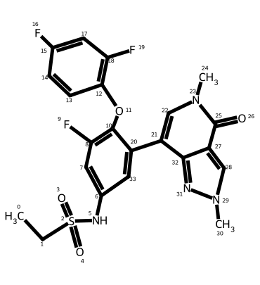 CCS(=O)(=O)Nc1cc(F)c(Oc2ccc(F)cc2F)c(-c2cn(C)c(=O)c3cn(C)nc23)c1